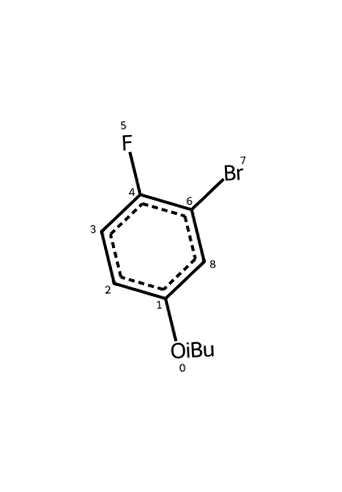 CC(C)COc1ccc(F)c(Br)c1